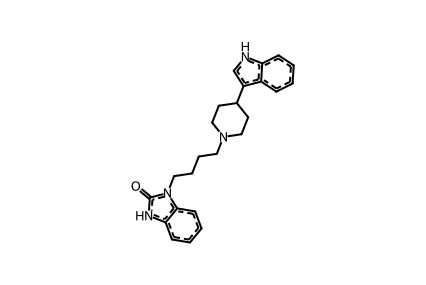 O=c1[nH]c2ccccc2n1CCCCN1CCC(c2c[nH]c3ccccc23)CC1